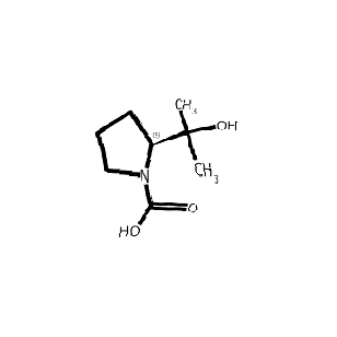 CC(C)(O)[C@@H]1CCCN1C(=O)O